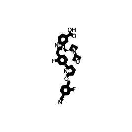 N#Cc1ccc(COc2cccc(-c3ccc(Cc4nc5ccc(C(=O)O)cc5n4C[C@@H]4CCN4C4COC4)c(F)c3)n2)c(F)c1